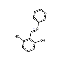 Oc1cccc(O)c1/C=N/c1ccccc1